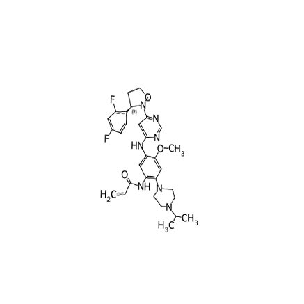 C=CC(=O)Nc1cc(Nc2cc(N3OCC[C@@H]3c3ccc(F)cc3F)ncn2)c(OC)cc1N1CCN(C(C)C)CC1